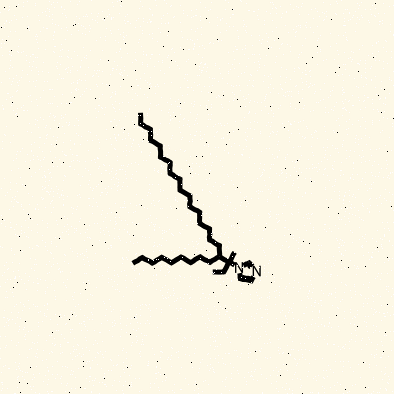 CCCCCCCCCCCCCCCCCC(CCCCCCCCC)C(C)(CC)n1ccnc1